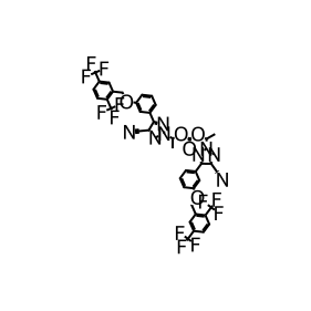 CC(OC(=O)OC(C)n1nc(C#N)c(-c2cccc(OCc3cc(C(F)(F)F)ccc3C(F)(F)F)c2)n1)n1nc(C#N)c(-c2cccc(OCc3cc(C(F)(F)F)ccc3C(F)(F)F)c2)n1